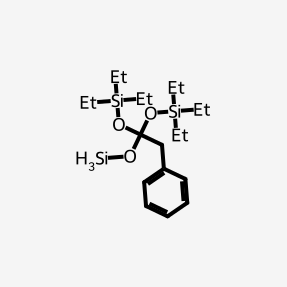 CC[Si](CC)(CC)OC(Cc1ccccc1)(O[SiH3])O[Si](CC)(CC)CC